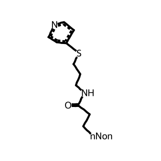 CCCCCCCCCCCC(=O)NCCCSc1ccncc1